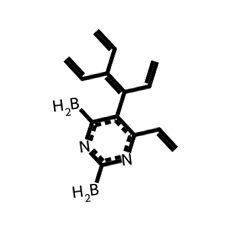 Bc1nc(B)c(C(C=C)=C(C=C)C=C)c(C=C)n1